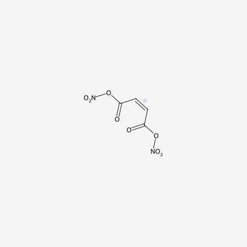 O=C(/C=C\C(=O)O[N+](=O)[O-])O[N+](=O)[O-]